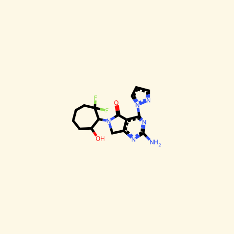 Nc1nc2c(c(-n3cccn3)n1)C(=O)N(C1C(O)CCCCC1(F)F)C2